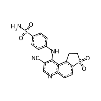 N#Cc1cnc2ccc3c(c2c1Nc1ccc(S(N)(=O)=O)cc1)CCS3(=O)=O